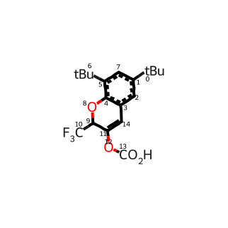 CC(C)(C)c1cc2c(c(C(C)(C)C)c1)OC(C(F)(F)F)C(OC(=O)O)=C2